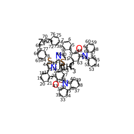 Cc1cc(-c2ccccc2-c2csc(-c3nc(-c4ccccc4-c4cc(C)cc(-n5c6ccccc6c6ccccc65)c4[O-])cs3)n2)c([O-])c(-n2c3ccccc3c3ccccc32)c1.c1ccc([CH2][Zr+2][CH2]c2ccccc2)cc1